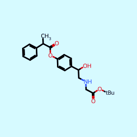 CC(C(=O)Oc1ccc(C(O)CNCC(=O)OC(C)(C)C)cc1)c1ccccc1